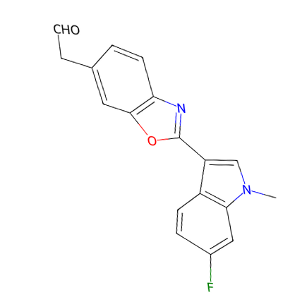 Cn1cc(-c2nc3ccc(CC=O)cc3o2)c2ccc(F)cc21